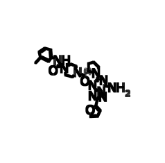 Cc1cccc(NC(=O)N2CCN(C(=O)[C@@H]3CCCN3c3nc(N)n4nc(-c5ccco5)nc4n3)CC2)c1